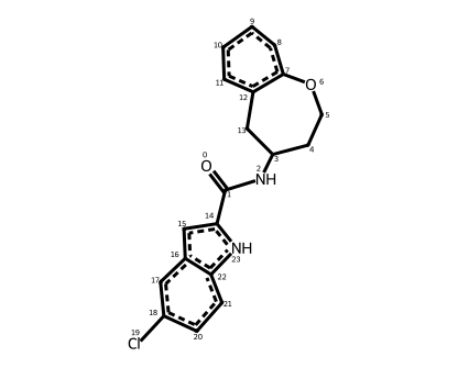 O=C(NC1CCOc2ccccc2C1)c1cc2cc(Cl)ccc2[nH]1